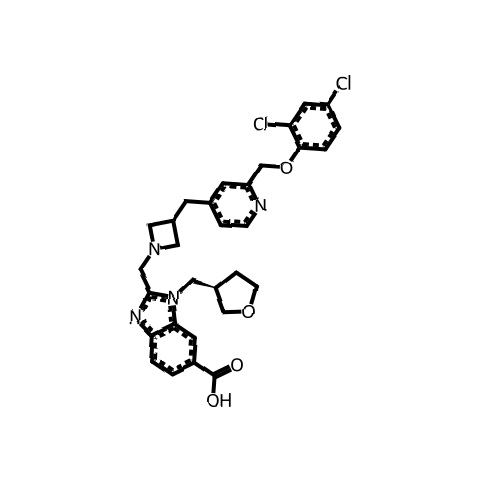 O=C(O)c1ccc2nc(CN3CC(Cc4ccnc(COc5ccc(Cl)cc5Cl)c4)C3)n(C[C@H]3CCOC3)c2c1